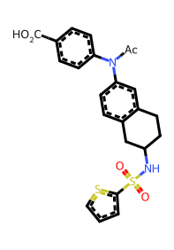 CC(=O)N(c1ccc(C(=O)O)cc1)c1ccc2c(c1)CCC(NS(=O)(=O)c1cccs1)C2